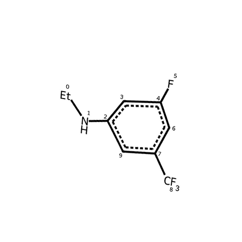 CCNc1cc(F)cc(C(F)(F)F)c1